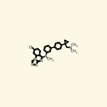 CN(C)CC1(c2ccc(-c3cccc(N(C)c4nc5nncn5c5cc(Cl)ccc45)c3)cc2)CC1